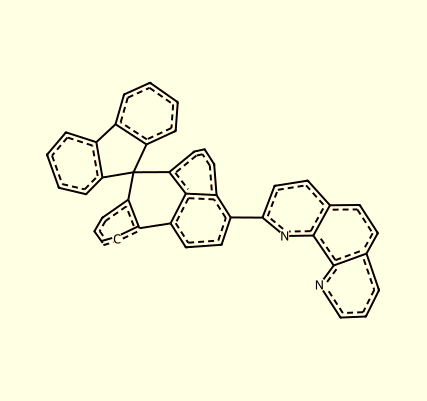 c1ccc2c(c1)-c1ccccc1C21c2ccccc2-c2ccc(-c3ccc4ccc5cccnc5c4n3)c3cccc1c23